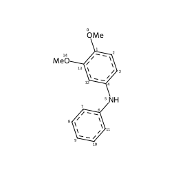 COc1ccc(Nc2[c]cccc2)cc1OC